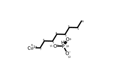 CCCCCCC[CH2][Cu+2].O=[PH]([O-])[O-]